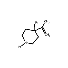 C=C(C)C1(CCC)CCN(C(C)C)CC1